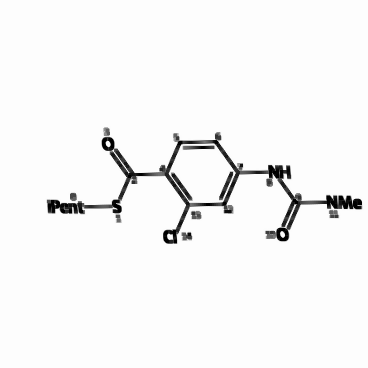 CCCC(C)SC(=O)c1ccc(NC(=O)NC)cc1Cl